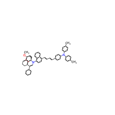 COc1c#cc(N(/C=C(\C2=CC=CCC2)c2ccccc2)c2ccc(/C=C/C=C/c3ccc(N(c4ccc(C)cc4)c4ccc(C)cc4)cc3)c3ccccc23)cc1